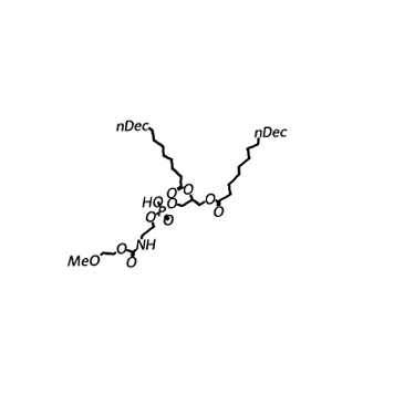 CCCCCCCCCCCCCCCCCC(=O)OCC(COP(=O)(O)OCCNC(=O)OCCOC)OC(=O)CCCCCCCCCCCCCCCCC